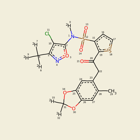 [2H]N(c1onc(C([2H])([2H])[2H])c1Cl)S(=O)(=O)c1ccsc1C(=O)Cc1cc2c(cc1C)OC([2H])([2H])O2